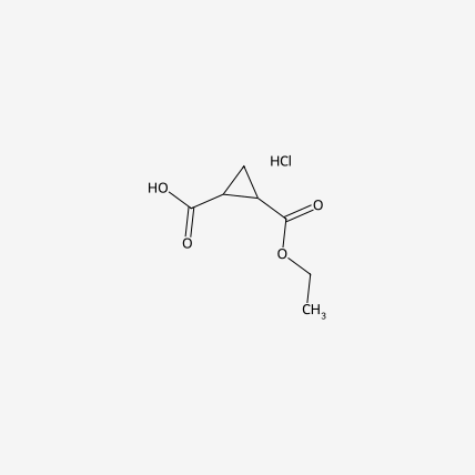 CCOC(=O)C1CC1C(=O)O.Cl